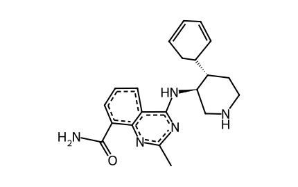 Cc1nc(N[C@@H]2CNCC[C@H]2C2C=CC=CC2)c2cccc(C(N)=O)c2n1